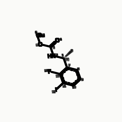 C[C@@H](NC(=O)OC(C)(C)C)c1cccc(I)c1F